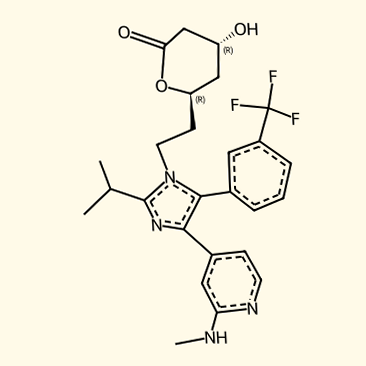 CNc1cc(-c2nc(C(C)C)n(CC[C@@H]3C[C@@H](O)CC(=O)O3)c2-c2cccc(C(F)(F)F)c2)ccn1